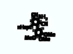 CCCCCCCc1cc(C#N)c(N)c(C#N)c1-c1cc(OC)c(OC)c(OC)c1